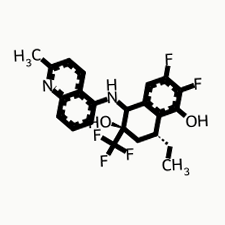 CC[C@@H]1C[C@](O)(C(F)(F)F)C(Nc2cccc3nc(C)ccc23)c2cc(F)c(F)c(O)c21